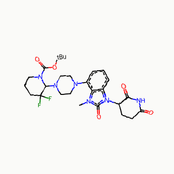 Cn1c(=O)n(C2CCC(=O)NC2=O)c2cccc(N3CCN(C4N(C(=O)OC(C)(C)C)CCCC4(F)F)CC3)c21